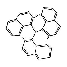 Cc1ccc2ccccc2c1P(c1c(C)ccc2ccccc12)c1c(C)ccc2ccccc12